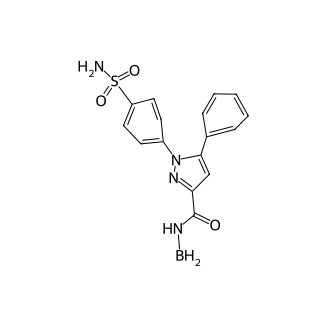 BNC(=O)c1cc(-c2ccccc2)n(-c2ccc(S(N)(=O)=O)cc2)n1